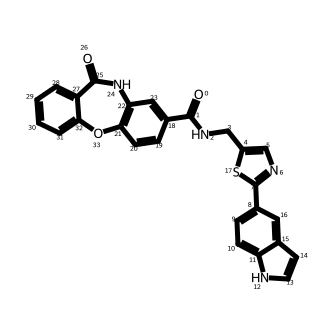 O=C(NCc1cnc(-c2ccc3[nH]ccc3c2)s1)c1ccc2c(c1)NC(=O)c1ccccc1O2